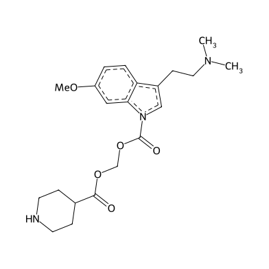 COc1ccc2c(CCN(C)C)cn(C(=O)OCOC(=O)C3CCNCC3)c2c1